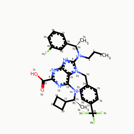 CCCN(c1nc2nc(C(=O)O)nc(N[C@H](C)C3CCC3)c2n1Cc1ccc(C(F)(F)F)cc1)[C@@H](C)c1cccc(F)c1